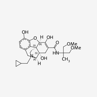 COCC(C)(COC)NC(=O)C1=C(O)[C@@H]2Oc3c(O)ccc4c3[C@@]23CCN(CC2CC2)[C@H](C4)[C@]3(O)C1